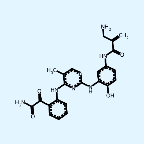 C=C(CN)C(=O)Nc1ccc(O)c(Nc2ncc(C)c(Nc3ccccc3C(=O)C(N)=O)n2)c1